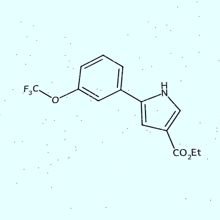 CCOC(=O)c1c[nH]c(-c2cccc(OC(F)(F)F)c2)c1